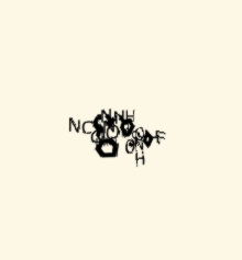 N#Cc1cnc(Nc2ccc(S(=O)(=O)N[C@H]3C[C@H](F)C3)cc2)nc1O[C@@H]1CCCC[C@@H]1O